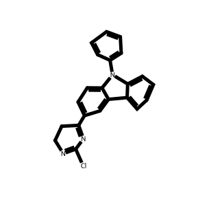 ClC1=NCCC(c2ccc3c(c2)c2ccccc2n3-c2ccccc2)=N1